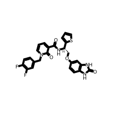 O=C(N[C@@H](COc1ccc2[nH]c(=O)[nH]c2c1)c1cccs1)c1cccn(Cc2ccc(F)c(F)c2)c1=O